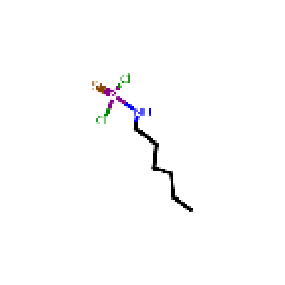 CCCCCCNP(=S)(Cl)Cl